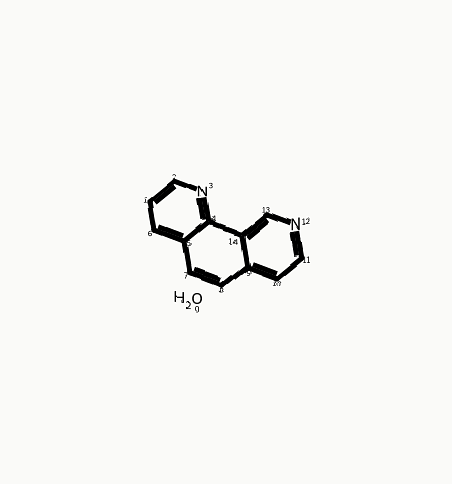 O.c1cnc2c(c1)ccc1ccncc12